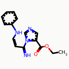 CCOC(=O)c1cncn1C(=N)/C=C\Nc1ccccc1